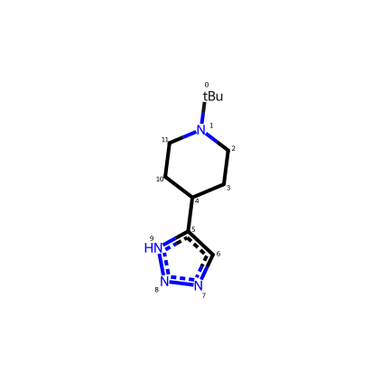 CC(C)(C)N1CCC(c2cnn[nH]2)CC1